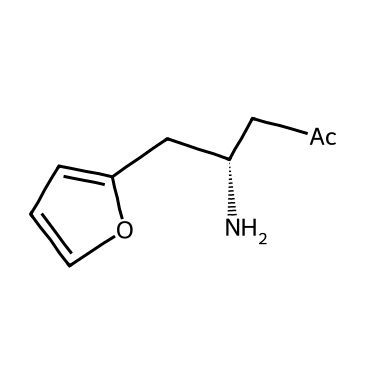 CC(=O)C[C@H](N)Cc1ccco1